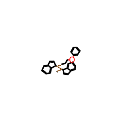 CS(CCCOc1ccccc1)(C1C=Cc2ccccc21)C1C=Cc2ccccc21